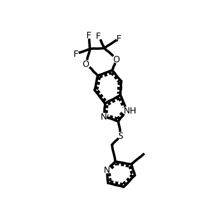 Cc1cccnc1CSc1nc2cc3c(cc2[nH]1)OC(F)(F)C(F)(F)O3